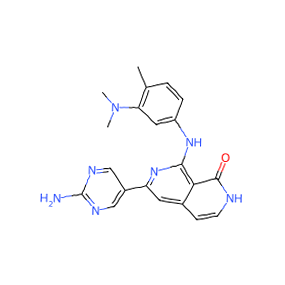 Cc1ccc(Nc2nc(-c3cnc(N)nc3)cc3cc[nH]c(=O)c23)cc1N(C)C